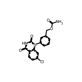 NC(=O)OCc1cccc(-n2c(=O)[nH]c(=O)c3ccc(Cl)cc32)c1